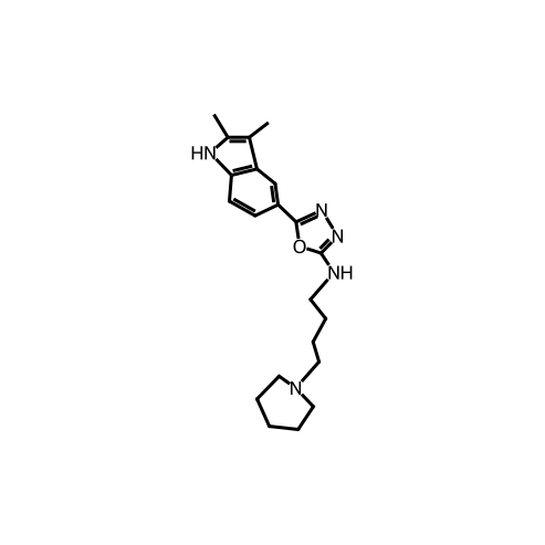 Cc1[nH]c2ccc(-c3nnc(NCCCCN4CCCCC4)o3)cc2c1C